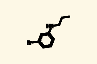 CCCNc1cccc(Br)c1